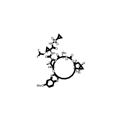 COc1ccc2nc3c(nc2c1)O[C@H]1CN(C(=O)[C@H](C(C)(C)C)NC(=O)O[C@@H]2C[C@@H]4C[C@@H]4[C@H]2CCCCC3)[C@H](C(=O)N[C@]2(C(=O)NS(=O)(=O)C3CC3)C[C@H]2CC(F)F)[C@@H]1C